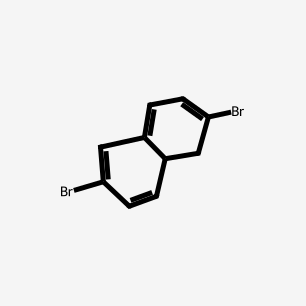 BrC1=CC2=CC=C(Br)CC2C=C1